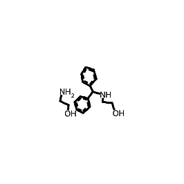 NCCO.OCCNC(c1ccccc1)c1ccccc1